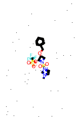 Cn1cc[n+](S(=O)(=O)N2CC(OCc3ccccc3)C2)c1.O=S(=O)([O-])C(F)(F)F